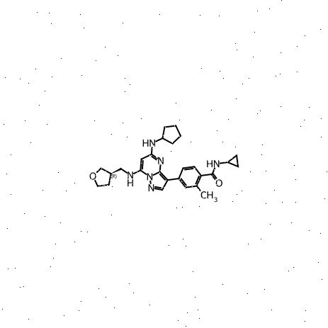 Cc1cc(-c2cnn3c(NC[C@H]4CCOC4)cc(NC4CCCC4)nc23)ccc1C(=O)NC1CC1